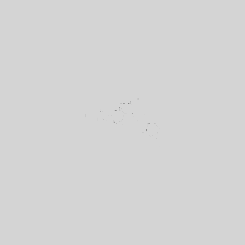 CCNC(=O)Nc1cc2cccc(CNc3ccc(OC)nc3)c2cn1.Cl